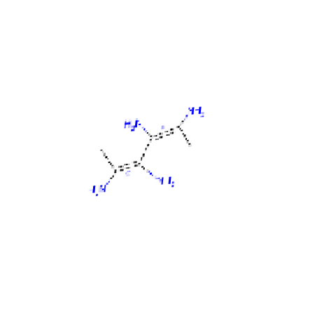 C/C(N)=C(N)\C(N)=C(/C)N